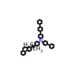 CC(C)(c1ccc(N(c2ccc(-c3ccccc3)cc2)c2ccc(-c3ccc(-c4ccccc4)cc3)cc2)cc1)c1ccc2c(ccc3ccccc32)c1